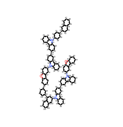 c1cc(-c2ccc3c(c2)oc2ccc(-n4c5ccccc5c5cc(-c6ccc7c(c6)c6ccccc6n7-c6ccc(-c7ccc8ccccc8c7)cc6)ccc54)cc23)cc(-c2cc(-n3c4ccccc4c4cc(-c5ccc6c(c5)c5ccccc5n6-c5ccc6oc7ccccc7c6c5)ccc43)cc3ccccc23)c1